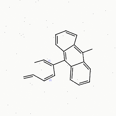 C=C/C=C\C(=C/C)c1c2ccccc2c(C)c2ccccc12